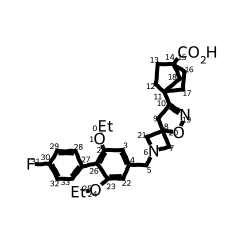 CCOc1cc(CN2CC3(CC(C45CCC(C(=O)O)(CC4)C5)=NO3)C2)cc(OCC)c1-c1ccc(F)cc1